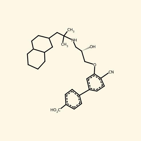 CC(C)(CC1CCC2CCCCC2C1)NC[C@H](O)COc1cc(-c2ccc(C(=O)O)cc2)ccc1C#N